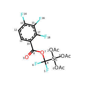 CC(=O)O[Si](OC(C)=O)(OC(C)=O)C(F)(F)OC(=O)c1ccc(F)c(F)c1F